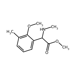 CNC(C(=O)OC)c1cccc(C)c1OC